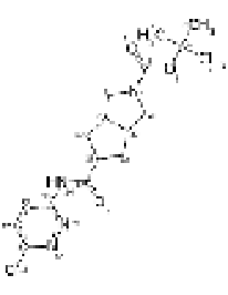 CC(C)(C)OC(=O)N1CC2CC(C(=O)Nc3ccc(Cl)nn3)CC2C1